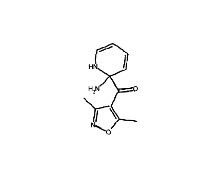 Cc1noc(C)c1C(=O)C1(N)C=CC=CN1